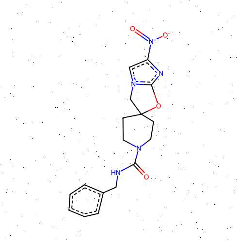 O=C(NCc1ccccc1)N1CCC2(CC1)Cn1cc([N+](=O)[O-])nc1O2